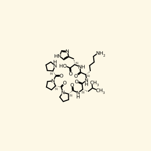 CC(C)C[C@H](NC(=O)[C@@H]1CCCN1C(=O)[C@@H]1CCCN1C(=O)[C@@H]1CCCN1)C(=O)N[C@@H](CCCCN)C(=O)N[C@@H](Cc1c[nH]cn1)C(=O)O